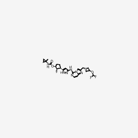 CC1(NC(=O)O[C@H]2CC[C@@H](c3cc(Nc4nccc5nc(CN6CC(OC(F)F)C6)cn45)n[nH]3)[C@H]2F)CC1